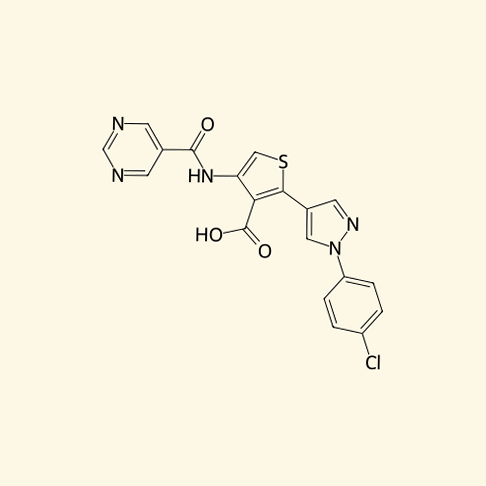 O=C(Nc1csc(-c2cnn(-c3ccc(Cl)cc3)c2)c1C(=O)O)c1cncnc1